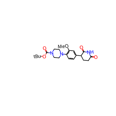 COc1cc(C2CCC(=O)NC2=O)ccc1N1CCN(C(=O)OC(C)(C)C)CC1